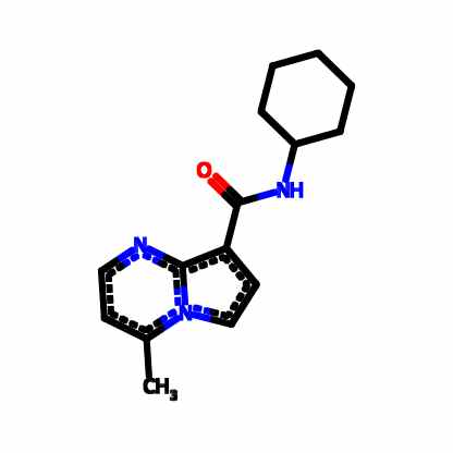 Cc1ccnc2c(C(=O)NC3CCCCC3)ccn12